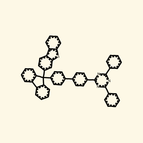 c1ccc(-c2nc(-c3ccccc3)nc(-c3ccc(-c4ccc(C5(c6ccc7c(c6)sc6ccccc67)c6ccccc6-c6ccccc65)cc4)cc3)n2)cc1